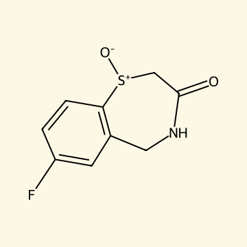 O=C1C[S+]([O-])c2ccc(F)cc2CN1